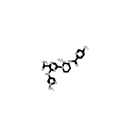 C[C@@H]1[C@H](NC(=O)c2ccc(C(F)(F)F)cn2)CCCN1c1cnc(C(N)=O)c(Nc2cnn(C)c2)n1